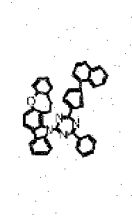 C1=CC2CCc3c(ccc4c5ccccc5n(-c5nc(-c6ccccc6)nc(-c6ccc(-c7cccc8ccccc78)cc6)n5)c34)OC2C=C1